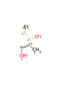 CCS[S+]([O-])/C(C)=C/O